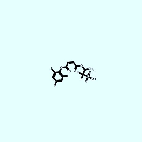 CC(OC(=O)/C=C\C(=O)Oc1c(I)cc(I)cc1I)C(F)(F)S(=O)(=O)O